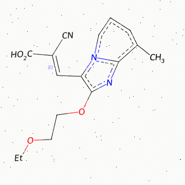 CCOCCOc1nc2c(C)cccn2c1/C=C(\C#N)C(=O)O